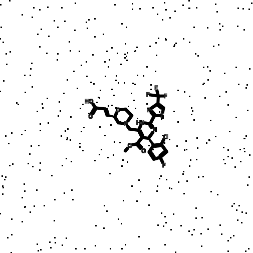 COC(=O)C1=C(CN2CCO[C@H](/C=C/C(=O)O)C2)NC(c2nc(C(F)(F)F)cs2)=N[C@H]1c1ccc(F)cc1Cl